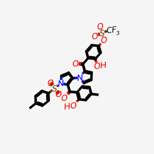 Cc1ccc(S(=O)(=O)n2ccc(-n3cccc3C(=O)c3ccc(OS(=O)(=O)C(F)(F)F)cc3O)c2C(=O)c2ccc(C)cc2O)cc1